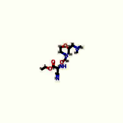 CCOC(=O)C(C#N)NOCN1CCOC(CN(C)C)C1